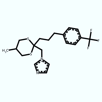 CC1CSC(CCCc2ccc(C(F)(F)F)cc2)(Cn2ccnc2)SC1